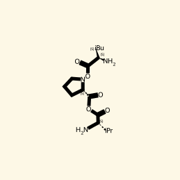 CC[C@H](C)[C@H](N)C(=O)ON1CCC[C@H]1C(=O)OC(=O)[C@@H](N)C(C)C